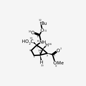 COC(=O)[C@H]1[C@@H]2CC[C@@](NC(=O)OC(C)(C)C)(C(=O)O)[C@@H]21